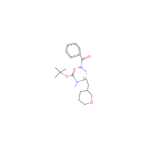 CN(C(=O)OC(C)(C)C)[C@H](CNC(=O)c1ccccc1)CC1CCCOC1